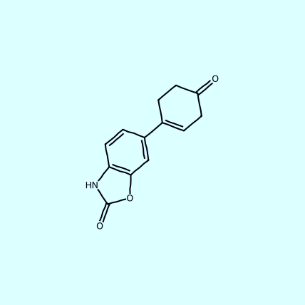 O=C1CC=C(c2ccc3[nH]c(=O)oc3c2)CC1